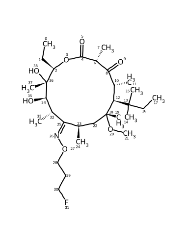 CC[C@H]1OC(=O)[C@H](C)C(=O)[C@H](C)[C@@H](C(C)(C)CC)[C@](C)(OC)C[C@@H](C)/C(=N\OCCCF)[C@H](C)[C@@H](O)[C@]1(C)O